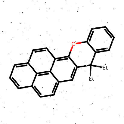 CCC1(CC)c2ccccc2Oc2c1cc1ccc3cccc4ccc2c1c34